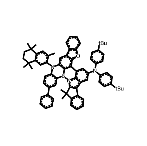 Cc1cc2c(cc1N1c3ccc(-c4ccccc4)cc3B3c4c1cc1c(oc5ccccc51)c4-c1cc(N(c4ccc(C(C)(C)C)cc4)c4ccc(C(C)(C)C)cc4)cc4c5c(n3c14)C(C)(C)c1ccccc1-5)C(C)(C)CCC2(C)C